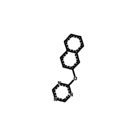 c1ccc2cc(Oc3ncncn3)ccc2c1